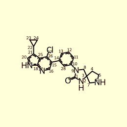 O=C1NC2(CCNC2)CN1c1cccc(-c2cnc3[nH]cc(C4CC4)c3c2Cl)c1